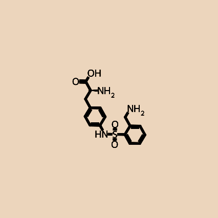 NCc1ccccc1S(=O)(=O)Nc1ccc(C[C@H](N)C(=O)O)cc1